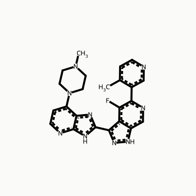 Cc1ccncc1-c1ncc2[nH]nc(-c3nc4c(N5CCN(C)CC5)ccnc4[nH]3)c2c1F